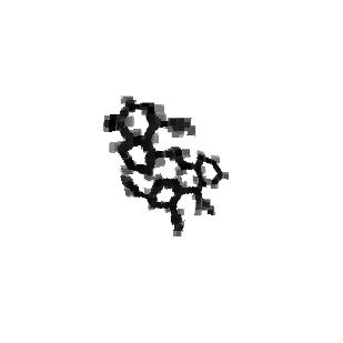 C=C(c1ccc(N=O)cc1C#N)N1CCCC[C@@H]1COc1cccc2c1C(N)=NSN2